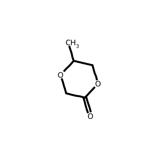 CC1COC(=O)CO1